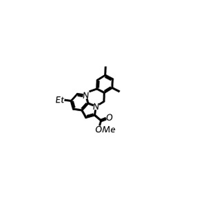 CCc1cnc2c(c1)cc(C(=O)OC)n2Cc1c(C)cc(C)cc1C